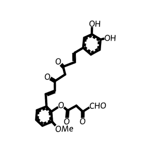 COc1cccc(C=CC(=O)CC(=O)C=Cc2ccc(O)c(O)c2)c1OC(=O)CC(=O)C=O